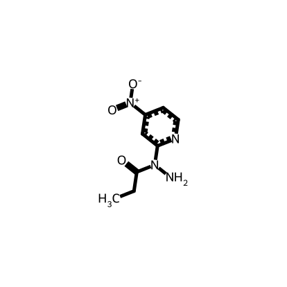 CCC(=O)N(N)c1cc([N+](=O)[O-])ccn1